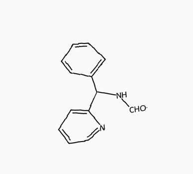 O=[C]NC(c1ccccc1)c1ccccn1